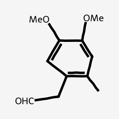 COc1cc(C)c(CC=O)cc1OC